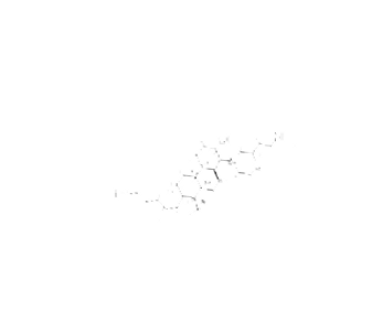 CC(C)CCC[C@@H](C)[C@H]1CC[C@H]2[C@@H]3CC=C4C(N5CCOC(CCN)C5)[C@@H](O)CC[C@]4(C)[C@H]3CC[C@]12C